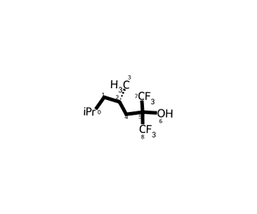 CC(C)C[C@H](C)CC(O)(C(F)(F)F)C(F)(F)F